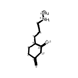 C=C1CCC(CCCNC(C)(C)C)C(=O)C1